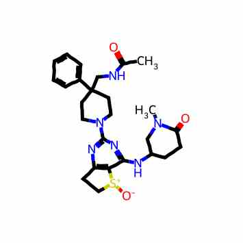 CC(=O)NCC1(c2ccccc2)CCN(c2nc3c(c(NC4CCC(=O)N(C)C4)n2)[S+]([O-])CC3)CC1